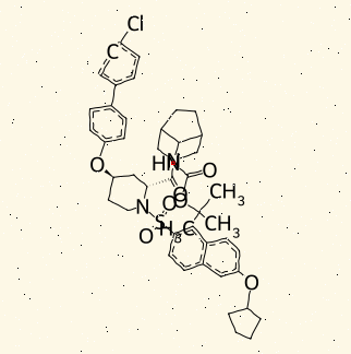 CC(C)(C)OC(=O)NC1C2CCC1CN(C(=O)[C@H]1C[C@H](Oc3ccc(-c4ccc(Cl)cc4)cc3)CCN1S(=O)(=O)c1ccc3cc(OC4CCCC4)ccc3c1)C2